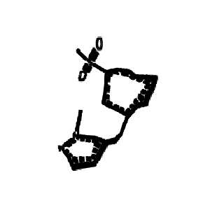 Cn1nccc1Cc1cccc(S(C)(=O)=O)c1